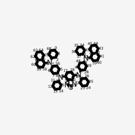 c1ccc(N(c2ccc(N(c3ccccc3)c3ccc(N(c4ccccc4)c4ccc(N(c5ccccc5)c5cccc6ccccc56)cc4)c4nsnc34)cc2)c2cccc3ccccc23)cc1